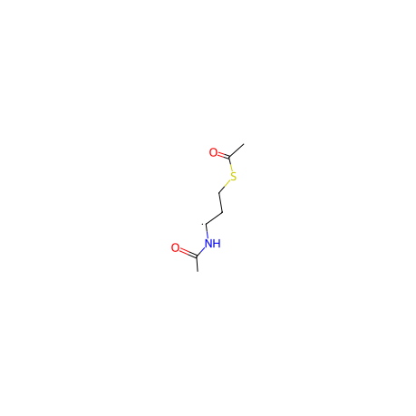 CC(=O)N[CH]CCSC(C)=O